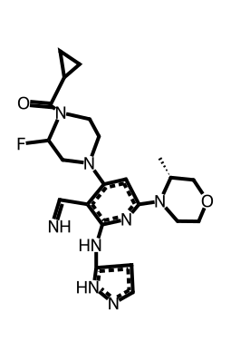 C[C@@H]1COCCN1c1cc(N2CCN(C(=O)C3CC3)C(F)C2)c(C=N)c(Nc2ccn[nH]2)n1